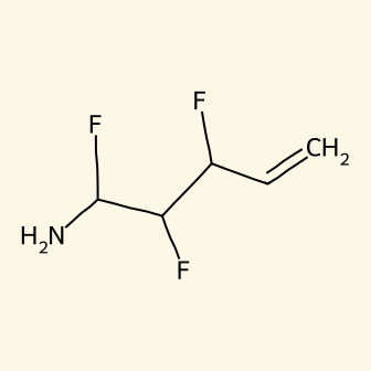 C=CC(F)C(F)C(N)F